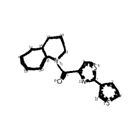 O=C(c1csc(-c2ccsc2)n1)N1CCCC2CCCC=C21